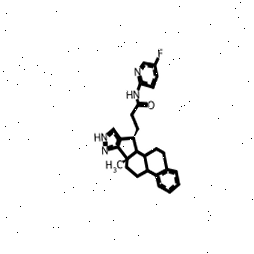 C[C@]12CCC3c4ccccc4CCC3C1[C@H](CCC(=O)Nc1ccc(F)cn1)c1c[nH]nc12